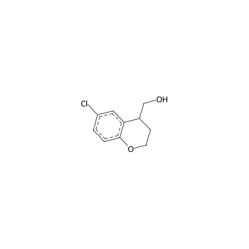 OCC1CCOc2ccc(Cl)cc21